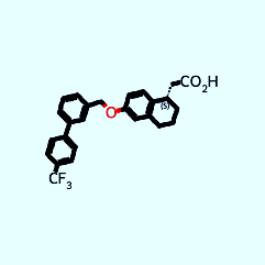 O=C(O)C[C@@H]1CCCc2cc(OCc3cccc(-c4ccc(C(F)(F)F)cc4)c3)ccc21